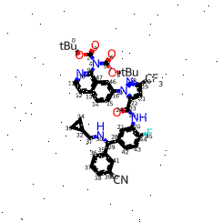 CC(C)(C)OC(=O)N(C(=O)OC(C)(C)C)c1nccc2ccc(-n3nc(C(F)(F)F)cc3C(=O)Nc3cc(C(NCC4CC4)c4cccc(C#N)c4)ccc3F)cc12